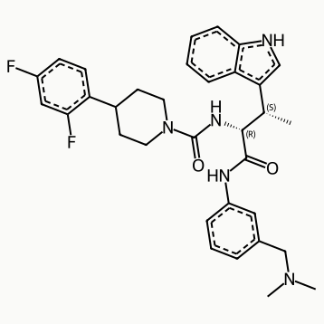 C[C@@H](c1c[nH]c2ccccc12)[C@@H](NC(=O)N1CCC(c2ccc(F)cc2F)CC1)C(=O)Nc1cccc(CN(C)C)c1